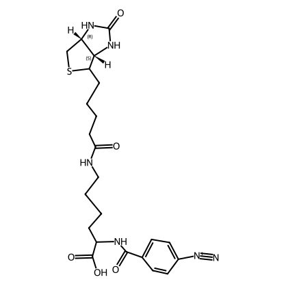 N#[N+]c1ccc(C(=O)NC(CCCCNC(=O)CCCCC2SC[C@@H]3NC(=O)N[C@H]23)C(=O)O)cc1